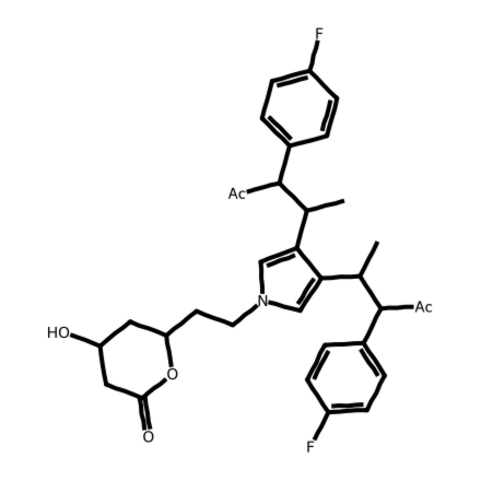 CC(=O)C(c1ccc(F)cc1)C(C)c1cn(CCC2CC(O)CC(=O)O2)cc1C(C)C(C(C)=O)c1ccc(F)cc1